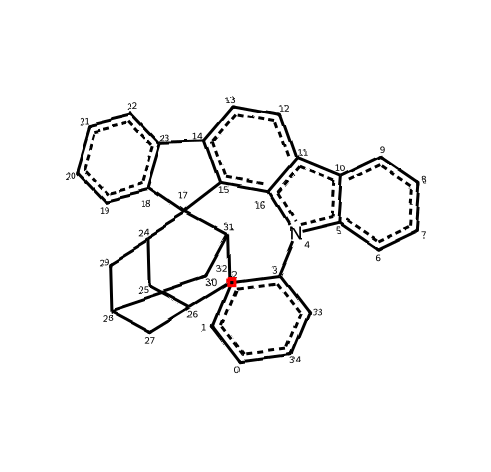 c1ccc(-n2c3ccccc3c3ccc4c(c32)C2(c3ccccc3-4)C3CC4CC(C3)CC2C4)cc1